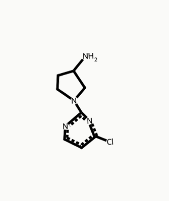 NC1CCN(c2nccc(Cl)n2)C1